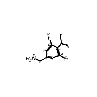 CC(C)c1c(F)cc(CN)cc1F